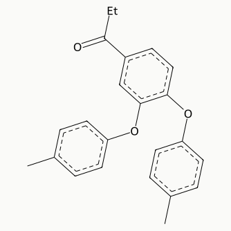 CCC(=O)c1ccc(Oc2ccc(C)cc2)c(Oc2ccc(C)cc2)c1